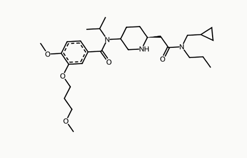 CCCN(CC1CC1)C(=O)C[C@@H]1CCC(N(C(=O)c2ccc(OC)c(OCCCOC)c2)C(C)C)CN1